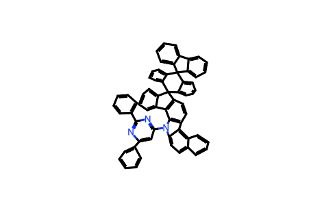 c1ccc(-c2cc(-n3c4ccc5ccccc5c4c4ccc5c(c43)-c3ccccc3C53c4ccccc4C4(c5ccccc5-c5ccccc54)c4ccccc43)nc(-c3ccccc3)n2)cc1